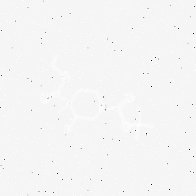 CCOC(=O)C1(C)CCN(C(=O)OC(C)(C)C)CC1F